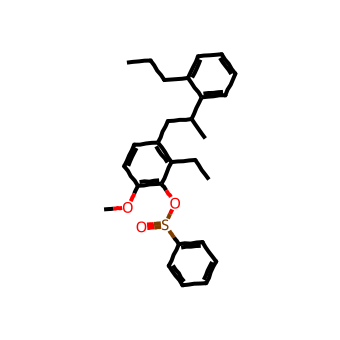 CCCc1ccccc1C(C)Cc1ccc(OC)c(OS(=O)c2ccccc2)c1CC